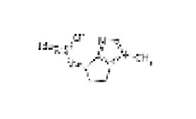 Cn1cnc2c1CCC2=N[S@+]([O-])C(C)(C)C